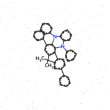 CC1(C)c2cc(-c3ccccc3)ccc2-c2c1cc(-c1ccccc1)c1c2N(c2ccccc2)c2ccccc2N1c1ccccc1